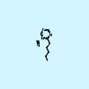 C#N.CCCCCc1ncncn1